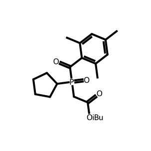 Cc1cc(C)c(C(=O)P(=O)(CC(=O)OCC(C)C)C2CCCC2)c(C)c1